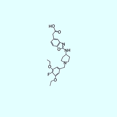 CCOc1cc(CN2CCC(Nc3nc4cc(CC(=O)O)ccc4o3)CC2)cc(OCC)c1F